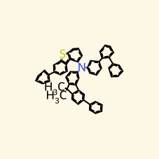 CC1(C)c2ccc(-c3ccccc3)cc2-c2cc(N(c3cccc(-c4ccccc4-c4ccccc4)c3)c3cccc4sc5cc(-c6ccccc6)ccc5c34)ccc21